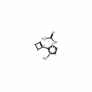 CC(=O)O.Cn1ccnc1C1=CCC1